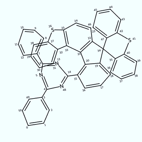 c1ccc(-c2nc(-c3ccccc3)nc(-c3cccc4c3-c3c(ccc5sc6ccccc6c35)C43c4ccccc4Sc4ccccc43)n2)cc1